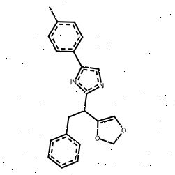 Cc1ccc(-c2cnc(C(Cc3ccccc3)C3=COCO3)[nH]2)cc1